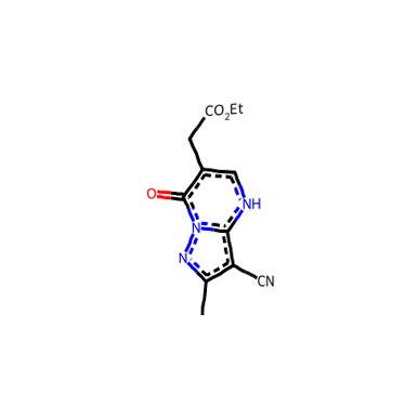 CCOC(=O)Cc1c[nH]c2c(C#N)c(C)nn2c1=O